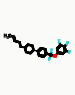 CC=CCC[C@H]1CC[C@H](c2ccc(C(F)(F)Oc3cc(F)c(F)c(F)c3)cc2)CC1